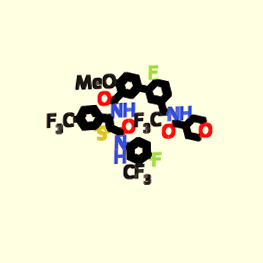 COc1ccc(C2C=C(C(NC(=O)C3CCOCC3)C(F)(F)F)C=CC2F)cc1C(=O)Nc1c(C(=O)Nc2ccc(F)c(C(F)(F)F)c2)sc2cc(C(F)(F)F)ccc12